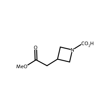 COC(=O)CC1CN(C(=O)O)C1